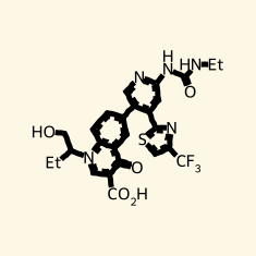 CCNC(=O)Nc1cc(-c2nc(C(F)(F)F)cs2)c(-c2ccc3c(c2)c(=O)c(C(=O)O)cn3C(CC)CO)cn1